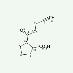 C#CCOC(=O)N1CCCC1C(=O)O